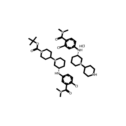 CN(C)C(=O)c1cc(N[C@H]2CCCN(C3CCN(C(=O)OC(C)(C)C)CC3)C2)ccc1Cl.CN(C)C(=O)c1ccc(N[C@H]2CCCN(C3CCNCC3)C2)cc1Cl.Cl